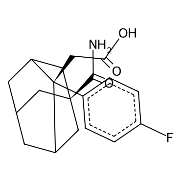 NC(=O)[C@]12CC3CC(C1)[C@@](CC(=O)O)(c1ccc(F)cc1)C(C3)C2